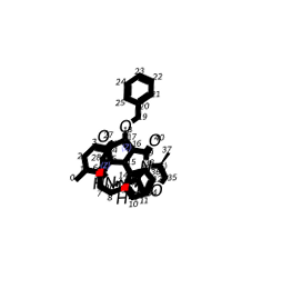 CC1CC=CC2=C1CCc1ccccc1C2/C1=C(/OCc2ccccc2)C(=O)/C=C\NN[C@@H]2COC[C@H](C)N2C1=O